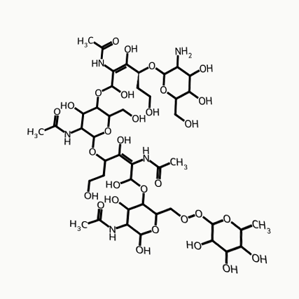 CC(=O)N/C(=C(\O)C(CCO)OC1OC(CO)C(OC(O)/C(NC(C)=O)=C(/O)[C@H](CCO)OC2OC(CO)C(O)C(O)C2N)C(O)C1NC(C)=O)C(O)OC1C(COOC2OC(C)C(O)C(O)C2O)OC(O)C(NC(C)=O)C1O